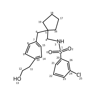 O=S(=O)(NCC1(Cc2ccc(CCO)cc2)CCCC1)c1cccc(Cl)c1